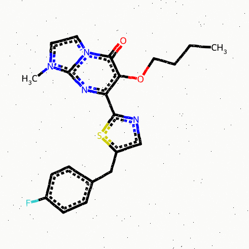 CCCCOc1c(-c2ncc(Cc3ccc(F)cc3)s2)nc2n(C)ccn2c1=O